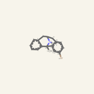 CN1C2Cc3ccccc3C1(C)c1cc(Br)ccc1C2